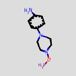 Nc1ccc(N2CCN(OP)CC2)cc1